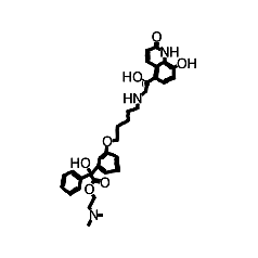 CN(C)CCOC(=O)C(O)(c1ccccc1)c1cccc(OCCCCCNC[C@H](O)c2ccc(O)c3[nH]c(=O)ccc23)c1